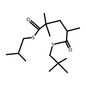 CC(C)CSC(=O)C(C)(C)CC(C)C(=O)SCC(C)(C)C